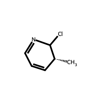 C[C@@H]1C=CC=NC1Cl